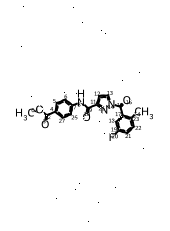 COC(=O)c1ccc(NC(=O)c2ccn(C(=O)c3cc(F)ccc3C)n2)cc1